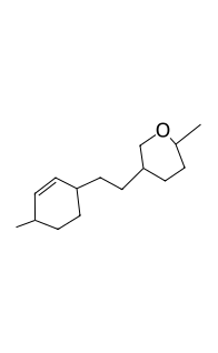 CC1C=CC(CCC2CCC(C)OC2)CC1